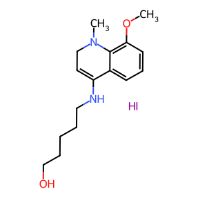 COc1cccc2c1N(C)CC=C2NCCCCCO.I